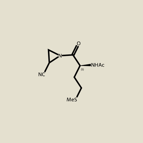 CSCC[C@H](NC(C)=O)C(=O)N1CC1C#N